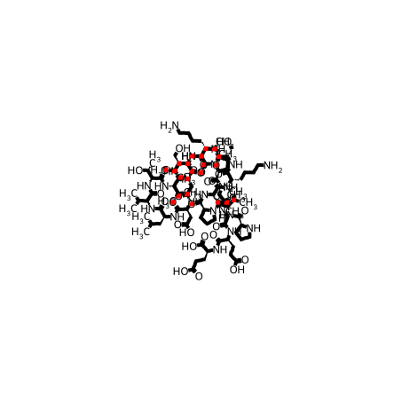 CC(C)C[C@H](NC(=O)[C@H](CCCCN)NC(=O)[C@H](CO)NC(=O)[C@H](CCCCN)NC(=O)[C@H](CC(C)C)NC(=O)[C@@H]1CCCN1C(=O)[C@@H](NC(=O)[C@@H]1CCCN1)C(C)C)C(=O)NCC(=O)N[C@@H](CC(=O)O)C(=O)N[C@@H](CC(C)C)C(=O)N[C@H](C(=O)N[C@H](C(=O)N[C@H](C(=O)N[C@@H](CO)C(=O)N[C@@H](CC(C)C)C(=O)N1CCC[C@H]1C(=O)NCC(=O)NCC(=O)N[C@@H](CCC(=O)O)C(=O)N[C@@H](CCC(=O)O)C(=O)O)C(C)C)[C@@H](C)O)C(C)C